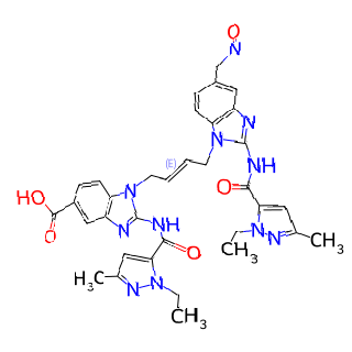 CCn1nc(C)cc1C(=O)Nc1nc2cc(CN=O)ccc2n1C/C=C/Cn1c(NC(=O)c2cc(C)nn2CC)nc2cc(C(=O)O)ccc21